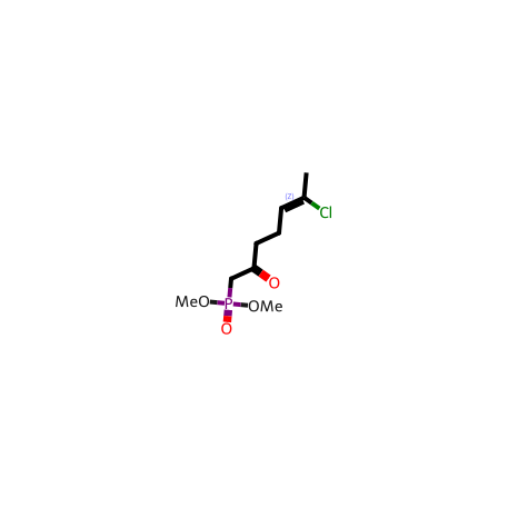 COP(=O)(CC(=O)CC/C=C(/C)Cl)OC